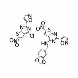 O=[N+]([O-])c1cc2c(Cl)nc(-c3ccno3)nc2s1.O=[N+]([O-])c1cc2c(NCc3ccc4c(c3)OCO4)nc(-c3ccno3)nc2s1